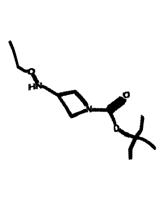 CCONC1CN(C(=O)OC(C)(C)C)C1